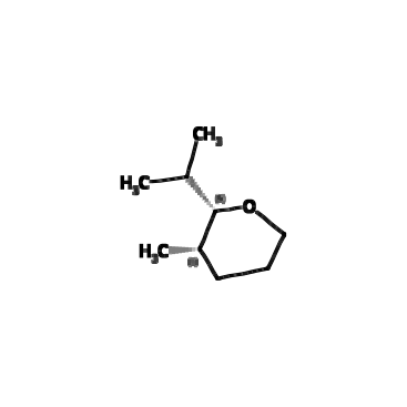 CC(C)[C@@H]1OCCC[C@@H]1C